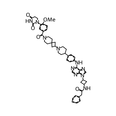 COc1ccc(C(=O)N2CCC3(CC2)CC(N2CCC(c4ccc(Nc5ncnc6c5ncn6C5CC(NC(=O)Cc6ccccc6)C5)cc4)CC2)C3)cc1N1CCC(=O)NC1=O